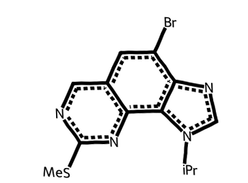 CSc1ncc2cc(Br)c3ncn(C(C)C)c3c2n1